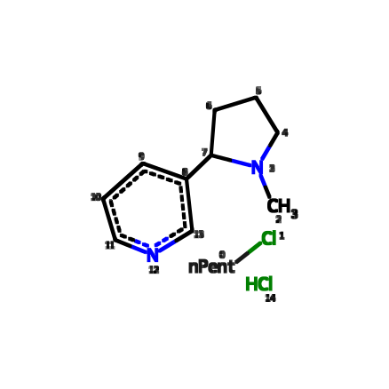 CCCCCCl.CN1CCCC1c1cccnc1.Cl